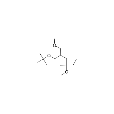 CCC(C)(CC(COC)COC(C)(C)C)OC